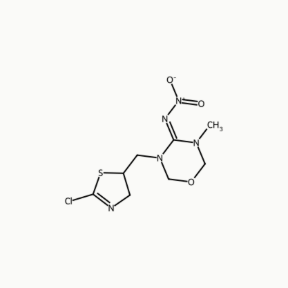 CN1COCN(CC2CN=C(Cl)S2)/C1=N/[N+](=O)[O-]